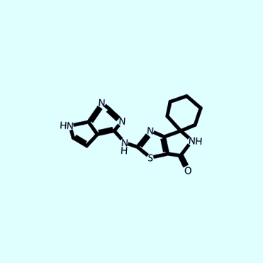 O=C1NC2(CCCCC2)c2nc(Nc3ncnc4[nH]ccc34)sc21